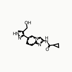 O=C(Nc1cn2cc(-c3n[nH]cc3CO)ccc2n1)C1CC1